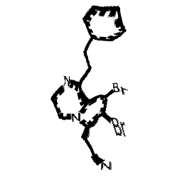 N#CCc1c(Br)c(Br)c2c(CCc3ccccc3)nccn12